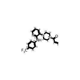 C=CC(=O)N1CCN(c2cccnc2Nc2ccc(C(F)(F)F)cc2)CC1